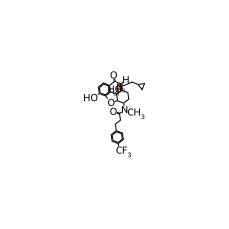 CN(C(=O)CCc1ccc(C(F)(F)F)cc1)C1CC[C@@]2(O)[C@H]3C(=O)c4ccc(O)c5c4[C@@]2(CCN3CC2CC2)C1O5